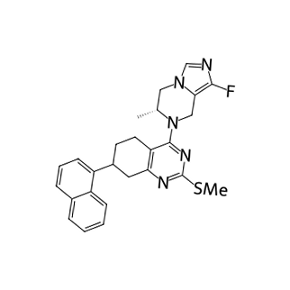 CSc1nc2c(c(N3Cc4c(F)ncn4C[C@H]3C)n1)CCC(c1cccc3ccccc13)C2